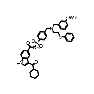 COc1cccc(CN(CCSc2ccccc2)Cc2ccc(S(=O)(=O)NC(=O)c3ccc4c(c3)c(C(=O)C3CCCCC3)cn4C)cc2)c1